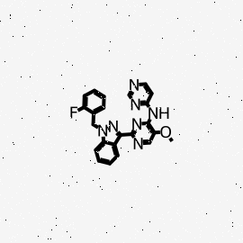 COc1cnc(-c2nn(Cc3ccccc3F)c3ccccc23)nc1Nc1ccncn1